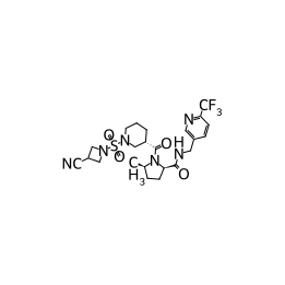 C[C@@H]1CC[C@H](C(=O)NCc2ccc(C(F)(F)F)nc2)N1C(=O)[C@H]1CCCN(S(=O)(=O)N2CC(C#N)C2)C1